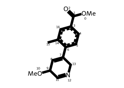 COC(=O)c1ccc(C2=CC(OC)C=NC2)c(C)c1